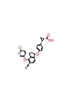 N#Cc1ccc2c(c1Oc1ccc(Cl)nc1)CC[C@H]2Oc1ccc([C@H]2C[C@@H]2C(=O)O)cc1